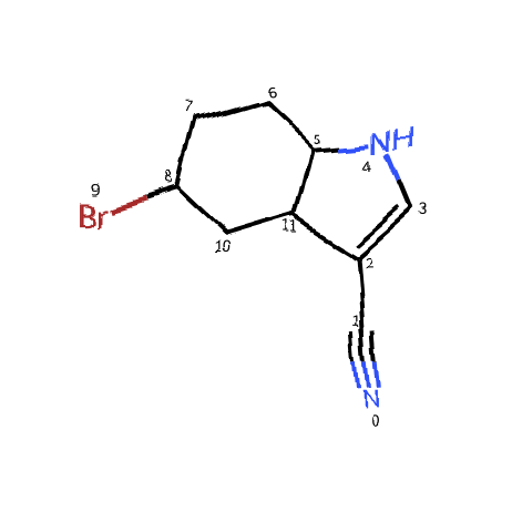 N#CC1=CNC2CCC(Br)CC12